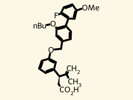 C=C(C)[C@@H](CC(=O)O)c1cccc(OCc2ccc(-c3cc(OC)ccc3F)c(OCCCC)c2)c1